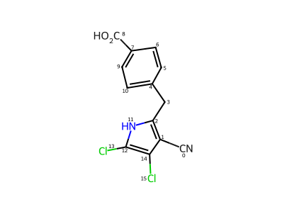 N#Cc1c(Cc2ccc(C(=O)O)cc2)[nH]c(Cl)c1Cl